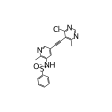 Cc1ncc(C#Cc2c(C)ncnc2Cl)cc1N[S+]([O-])c1ccccc1